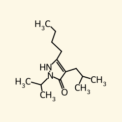 CCCCc1[nH]n(C(C)C)c(=O)c1CC(C)C